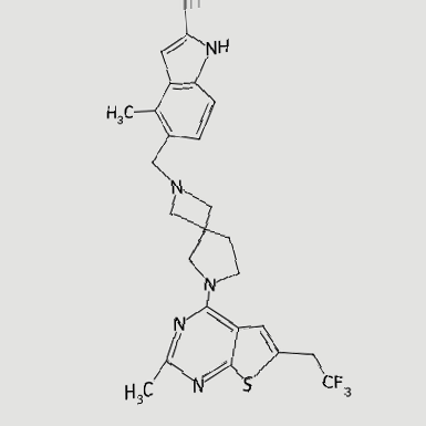 Cc1nc(N2CCC3(CN(Cc4ccc5[nH]c(C#N)cc5c4C)C3)C2)c2cc(CC(F)(F)F)sc2n1